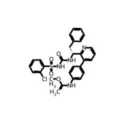 C=C(Nc1ccc(-c2cccnc2[C@@H](Cc2ccccc2)NC(=O)NS(=O)(=O)c2ccccc2Cl)cc1)OC